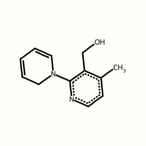 Cc1ccnc(N2C=CC=CC2)c1CO